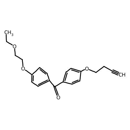 C#CCCOc1ccc(C(=O)c2ccc(OCCOCC)cc2)cc1